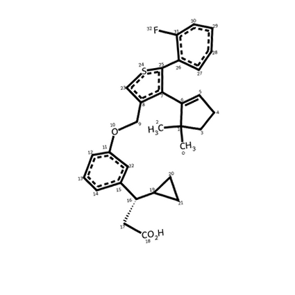 CC1(C)CCC=C1c1c(COc2cccc([C@@H](CC(=O)O)C3CC3)c2)csc1-c1ccccc1F